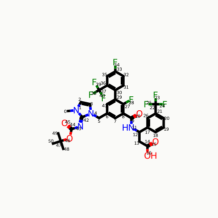 Cn1ccn(Cc2cc(C(=O)NC(CC(=O)O)c3cccc(C(F)(F)F)c3)c(F)c(-c3ccc(F)cc3C(F)(F)F)c2)c1=NC(=O)OC(C)(C)C